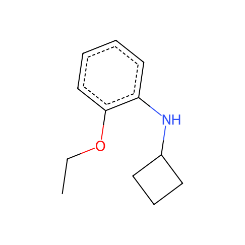 CCOc1ccccc1NC1CCC1